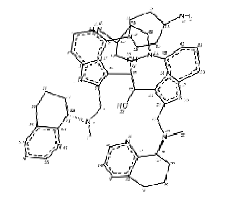 CN(Cc1nc2cccc(N3CCC(N)CC3)n2c1C(O)C(O)c1c(CN(C)[C@H]2CCCc3cccnc32)nc2cccc(N3CCC(N)CC3)n12)[C@H]1CCCc2cccnc21